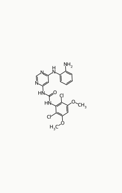 COc1cc(OC)c(Cl)c(NC(=O)Nc2cc(Nc3ccccc3N)ncn2)c1Cl